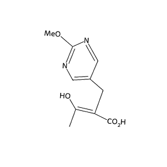 COc1ncc(CC(C(=O)O)=C(C)O)cn1